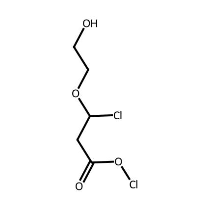 O=C(CC(Cl)OCCO)OCl